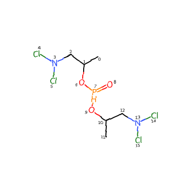 CC(CN(Cl)Cl)O[PH](=O)OC(C)CN(Cl)Cl